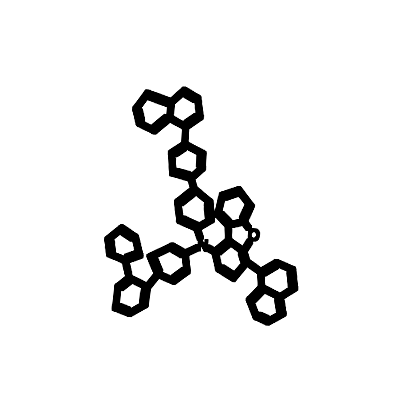 c1ccc(-c2ccccc2-c2ccc(N(c3ccc(-c4ccc(-c5cccc6ccccc56)cc4)cc3)c3ccc(-c4cccc5ccccc45)c4oc5ccccc5c34)cc2)cc1